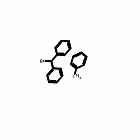 BrC(c1ccccc1)c1ccccc1.Cc1ccccc1